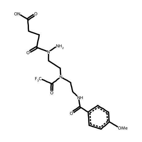 COc1ccc(C(=O)NCCN(CCN(N)C(=O)CCC(=O)N=O)C(=O)C(F)(F)F)cc1